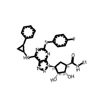 CCNC(=O)[C@@H]1C[C@H](n2nnc3c(NC4CC4c4ccccc4)nc(Sc4ccc(F)cc4)nc32)[C@@H](O)[C@H]1O